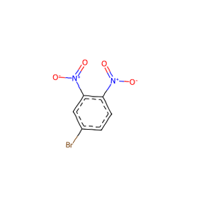 O=[N+]([O-])c1ccc(Br)cc1[N+](=O)[O-]